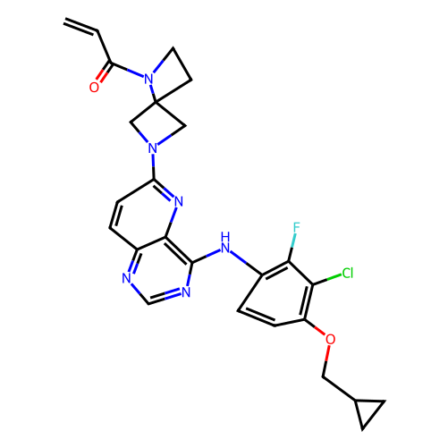 C=CC(=O)N1CCC12CN(c1ccc3ncnc(Nc4ccc(OCC5CC5)c(Cl)c4F)c3n1)C2